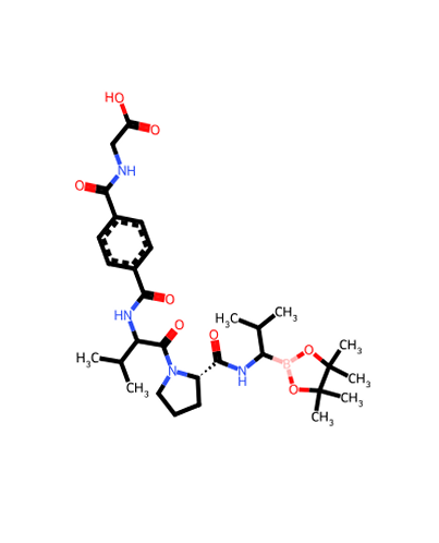 CC(C)C(NC(=O)[C@@H]1CCCN1C(=O)C(NC(=O)c1ccc(C(=O)NCC(=O)O)cc1)C(C)C)B1OC(C)(C)C(C)(C)O1